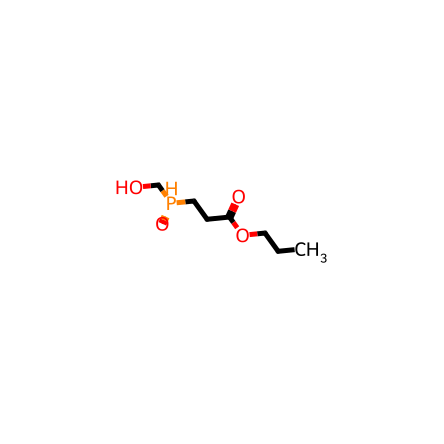 CCCOC(=O)CC[PH](=O)CO